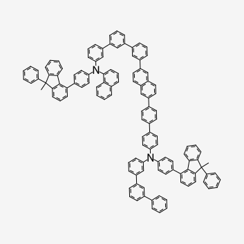 CC1(c2ccccc2)c2ccccc2-c2c(-c3ccc(N(c4ccc(-c5ccc(-c6ccc7cc(-c8cccc(-c9cccc(-c%10cccc(N(c%11ccc(-c%12cccc%13c%12-c%12ccccc%12C%13(C)c%12ccccc%12)cc%11)c%11cccc%12ccccc%11%12)c%10)c9)c8)ccc7c6)cc5)cc4)c4cccc(-c5cccc(-c6ccccc6)c5)c4)cc3)cccc21